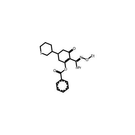 CCCC(=NOCC)C1=C(OC(=O)c2ccccc2)CC(C2CCCSC2)CC1=O